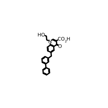 O=C(O)c1cn(CCO)c2ccc(Cc3cccc(-c4ccccc4)c3)cc2c1=O